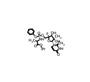 C=C1NC(=O)C=CN1[C@@H]1O[C@](F)(CO[P@@](=O)(NC(C)C(=O)OC(C)C)Oc2ccccc2)[C@@H](O)[C@@]1(C)O